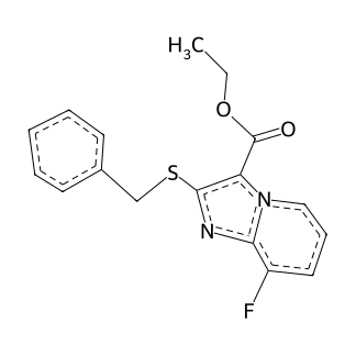 CCOC(=O)c1c(SCc2ccccc2)nc2c(F)cccn12